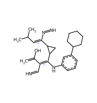 C=C(O)/C(C=N)=C(/Nc1cccc(C2CCCCC2)c1)C1CC1/C(=C/C(C)C)N=N